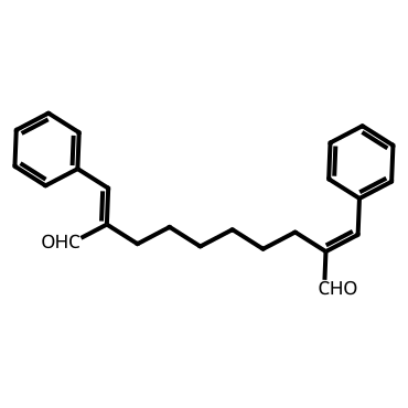 O=CC(=Cc1ccccc1)CCCCCCC(C=O)=Cc1ccccc1